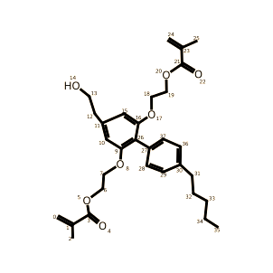 C=C(C)C(=O)OCCOc1cc(CCO)cc(OCCOC(=O)C(=C)C)c1-c1ccc(CCCCC)cc1